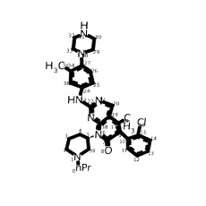 CCCN1CCC[C@H](n2c(=O)c(-c3ccccc3Cl)c(C)c3cnc(Nc4ccc(N5CCNCC5)c(C)c4)nc32)C1